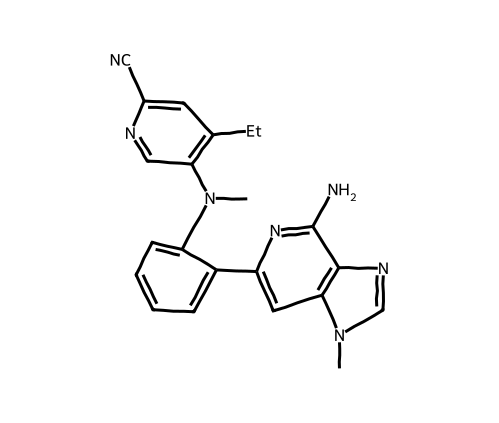 CCc1cc(C#N)ncc1N(C)c1ccccc1-c1cc2c(ncn2C)c(N)n1